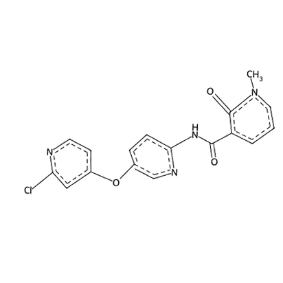 Cn1cccc(C(=O)Nc2ccc(Oc3ccnc(Cl)c3)cn2)c1=O